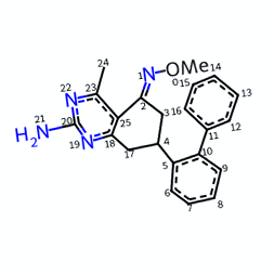 CON=C1CC(c2ccccc2-c2ccccc2)Cc2nc(N)nc(C)c21